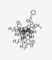 COc1cc2c(cc1OC(=O)/C=C/c1ccccc1)CCN[C@]21CS[C@@H]2c3c(OC(C)=O)c(C)c4c(c3[C@H](COC1=O)N1C2[C@@H]2c3c(cc(C)c(OC)c3O)C[C@H]([C@@H]1O)N2C)OCO4